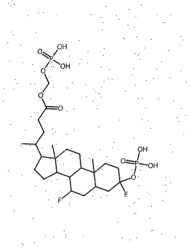 CC(CCC(=O)OCOP(=O)(O)O)C1CCC2C3C(F)CC4CC(F)(OP(=O)(O)O)CCC4(C)C3CCC12C